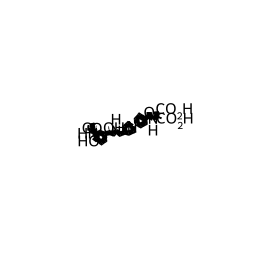 CS(=O)(=O)Nc1cc([C@H](O)CNCC2CCN(c3ccc(C(=O)N[C@@H](CC(=O)O)C(=O)O)cc3)CC2)ccc1O